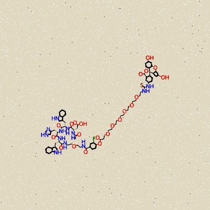 CC(=O)N[C@@H](CC(=O)O)C(=O)N[C@@H](Cc1c[nH]c2ccccc12)C(=O)N[C@@H](Cc1c[nH]cn1)C(=O)N[C@@H](Cc1c[nH]c2ccccc12)C(=O)NCCOCCNC(=O)c1ccc(OC(=O)CCOCCOCCOCCOCCOCCOCCNC(=S)Nc2ccc3c(c2)C(=O)OC32c3ccc(O)cc3Oc3cc(O)ccc32)c(F)c1